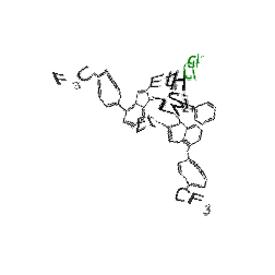 CCC1=Cc2c(-c3ccc(C(F)(F)F)cc3)cccc2[CH]1[Zr+2]([CH]1C(CC)=Cc2c(-c3ccc(C(F)(F)F)cc3)cccc21)[SiH](C)c1ccccc1.[Cl-].[Cl-]